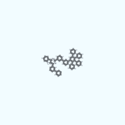 c1ccc(-c2cccc(-c3nc(-c4cccc(-c5cccc(-c6cc(-c7ccccc7)c(-c7ccccc7)c(-c7ccccc7)c6-c6ccccc6)c5)c4)nc4c3oc3ccccc34)c2)cc1